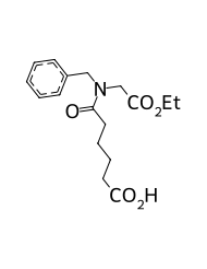 CCOC(=O)CN(Cc1ccccc1)C(=O)CCCCC(=O)O